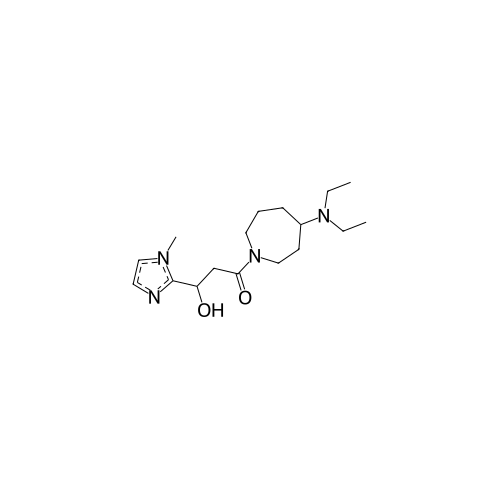 CCN(CC)C1CCCN(C(=O)CC(O)c2nccn2C)CC1